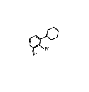 CC(C)c1cccc(C2[CH]CCCC2)c1C(C)C